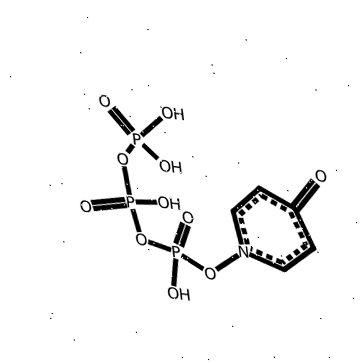 O=c1ccn(OP(=O)(O)OP(=O)(O)OP(=O)(O)O)cc1